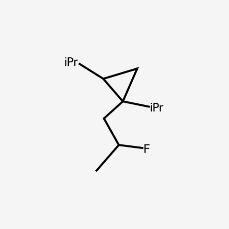 CC(F)CC1(C(C)C)CC1C(C)C